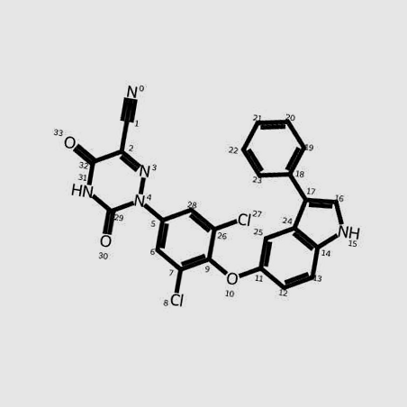 N#Cc1nn(-c2cc(Cl)c(Oc3ccc4[nH]cc(-c5ccccc5)c4c3)c(Cl)c2)c(=O)[nH]c1=O